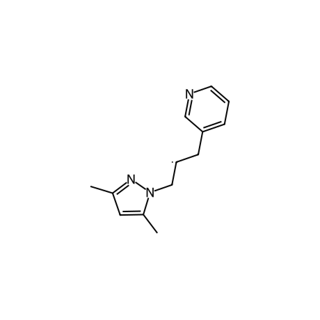 Cc1cc(C)n(C[CH]Cc2cccnc2)n1